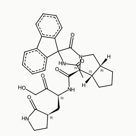 CC(=O)NC1(C(=O)N2C[C@@H]3CCC[C@@H]3[C@H]2C(=O)N[C@@H](C[C@H]2CCNC2=O)C(=O)CO)c2ccccc2-c2ccccc21